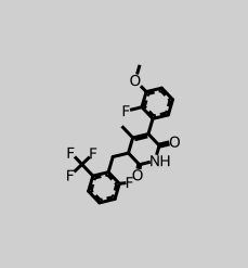 COc1cccc(C2=C(C)C(Cc3c(F)cccc3C(F)(F)F)C(=O)NC2=O)c1F